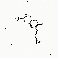 CC(C)Cc1ccc(F)c(OCC2CC2)c1